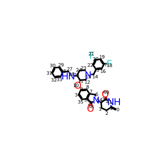 C=C1CCC(N2Cc3cc(OC4CN(Cc5cc(F)cc(F)c5)CCC4NCc4ccccc4)ccc3C2=O)C(=O)N1